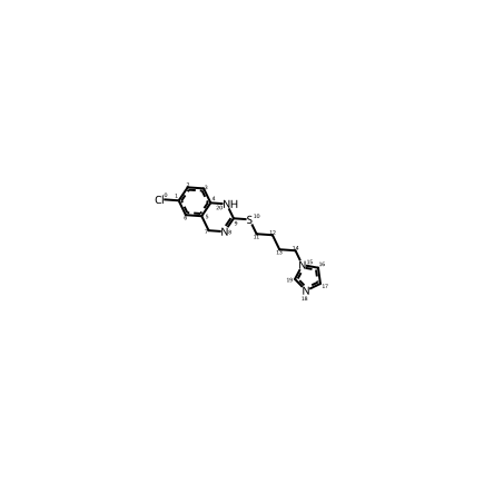 Clc1ccc2c(c1)CN=C(SCCCCn1ccnc1)N2